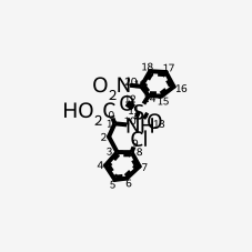 O=C(O)C(Cc1ccccc1Cl)NS(=O)(=O)c1ccccc1[N+](=O)[O-]